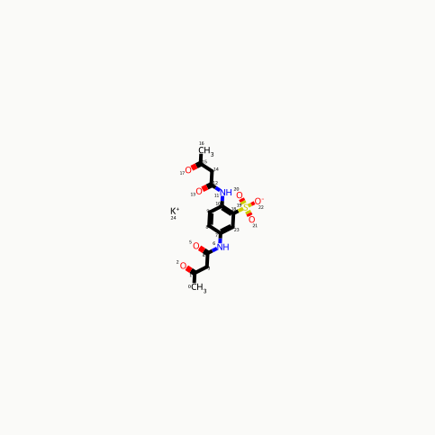 CC(=O)CC(=O)Nc1ccc(NC(=O)CC(C)=O)c(S(=O)(=O)[O-])c1.[K+]